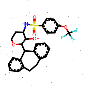 O=S(=O)(NC1CCOC(C2c3ccccc3CCc3ccccc32)C1O)c1ccc(OC(F)(F)F)cc1